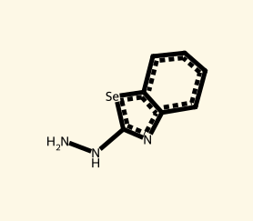 NNc1nc2ccccc2[se]1